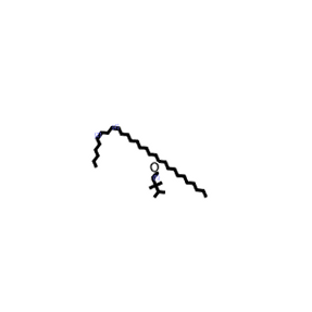 CCCCC/C=C\C/C=C\CCCCCCCCC(CCCCCCCCCC)O/C=C/C(C)(C)C(C)C